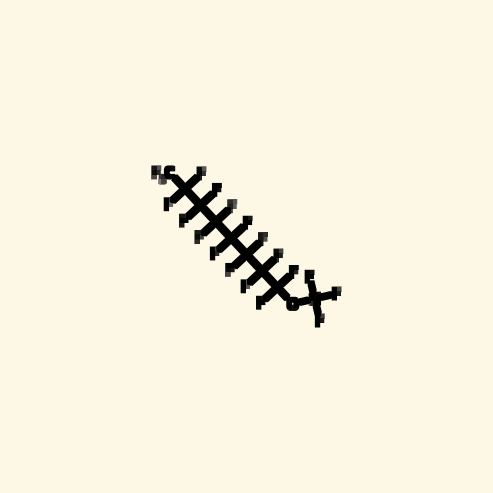 FC(F)(F)C(F)(F)C(F)(F)C(F)(F)C(F)(F)C(F)(F)C(F)(F)C(F)(F)O[Si](F)(F)F